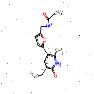 CCc1cc(-c2ccc(CNC(C)=O)o2)c(C)[nH]c1=O